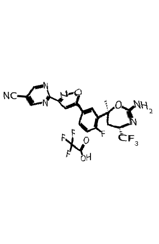 C[C@@]1(c2cc(-c3cc(-c4ncc(C#N)cn4)no3)ccc2F)C[C@@H](C(F)(F)F)N=C(N)O1.O=C(O)C(F)(F)F